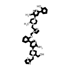 C[C@@H]1CN(c2cc(-c3ccccc3O)nnc2N)CCN1Cc1nccn1COc1ccccc1-c1cc(N2CCN(Cc3nccs3)C(CO)C2)c(N)nn1